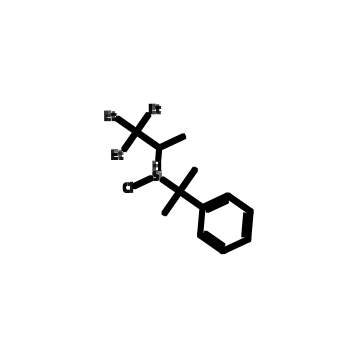 CCC(CC)(CC)C(C)[SiH](Cl)C(C)(C)c1ccccc1